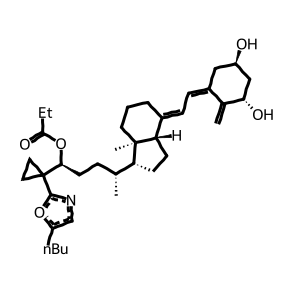 C=C1/C(=C\C=C2/CCC[C@]3(C)[C@@H]([C@H](C)CC[C@H](OC(=O)CC)C4(c5ncc(CCCC)o5)CC4)CC[C@@H]23)C[C@@H](O)C[C@@H]1O